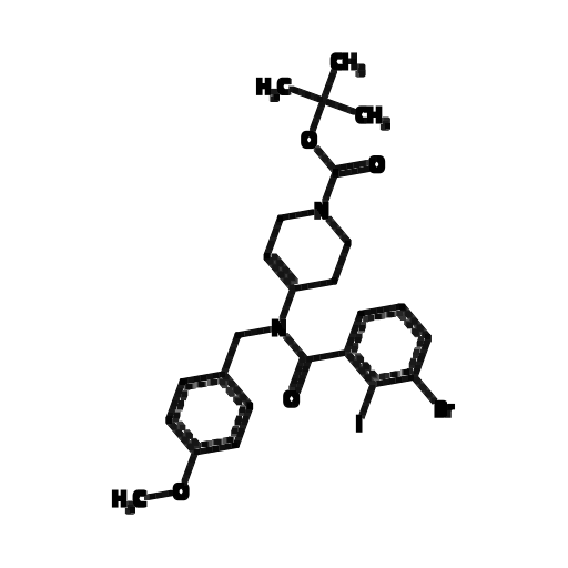 COc1ccc(CN(C(=O)c2cccc(Br)c2I)C2=CCN(C(=O)OC(C)(C)C)CC2)cc1